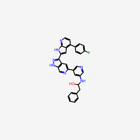 OC(Cc1ccccc1)Nc1cncc(-c2cc3c(-c4cc5c(-c6ccc(F)cc6)ccnc5[nH]4)n[nH]c3cn2)c1